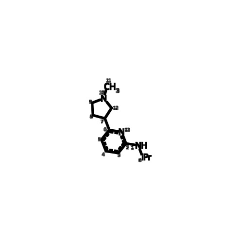 CC(C)Nc1cccc(C2CCN(C)C2)n1